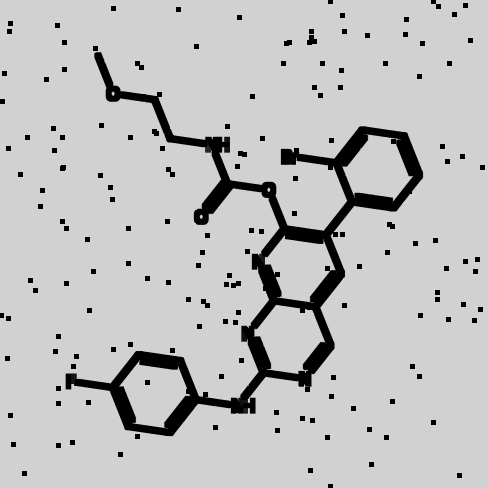 COCCNC(=O)Oc1nc2nc(Nc3ccc(F)cc3)ncc2cc1-c1ccccc1Br